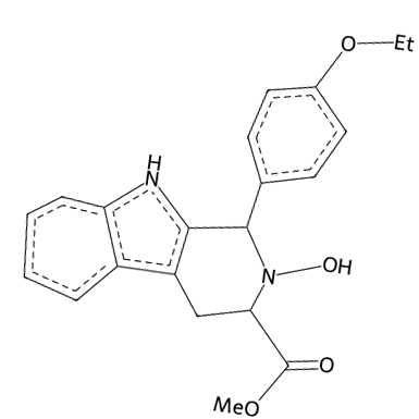 CCOc1ccc(C2c3[nH]c4ccccc4c3CC(C(=O)OC)N2O)cc1